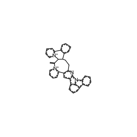 C=C1C2C(CCc3nc4c(cc3-c3cccc[n+]31)c1cccc3c5ccccc5n4c31)c1ccccc1-c1cccc[n+]12